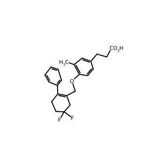 Cc1cc(CCC(=O)O)ccc1OCC1=C(c2ccccc2)CCC(F)(F)C1